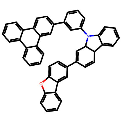 C1=CC2c3ccccc3N(c3cccc(-c4ccc5c6ccccc6c6ccccc6c5c4)c3)C2C=C1c1ccc2oc3ccccc3c2c1